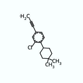 [CH2]C#Cc1ccc(C2CCC(C)(C)CC2)c(Cl)c1